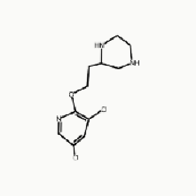 Clc1cnc(OCCC2CNCCN2)c(Cl)c1